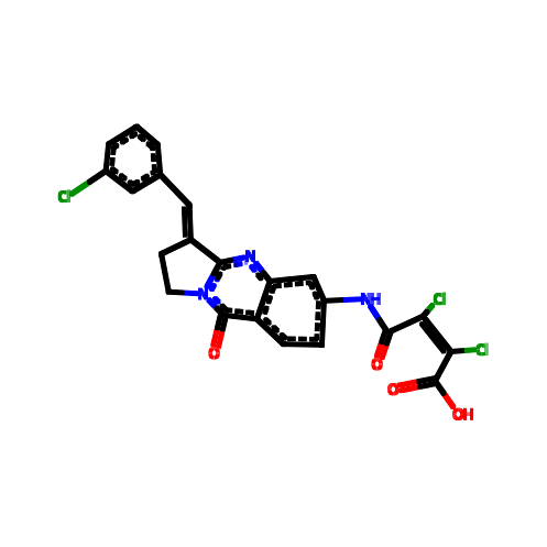 O=C(O)/C(Cl)=C(/Cl)C(=O)Nc1ccc2c(=O)n3c(nc2c1)C(=Cc1cccc(Cl)c1)CC3